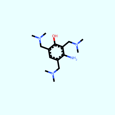 CN(C)Cc1cc(CN(C)C)c(O)c(CN(C)C)c1N